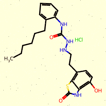 CCCCCCc1ccccc1NC(=O)NNCCc1ccc(O)c2[nH]c(=O)sc12.Cl